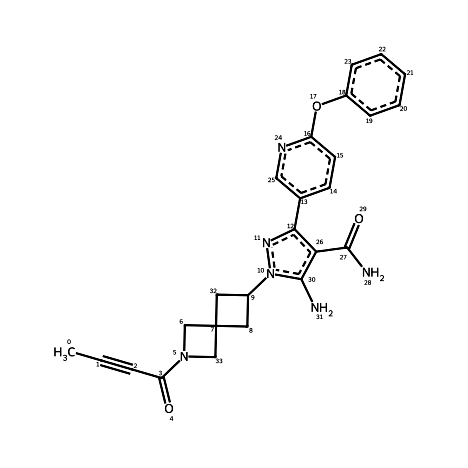 CC#CC(=O)N1CC2(CC(n3nc(-c4ccc(Oc5ccccc5)nc4)c(C(N)=O)c3N)C2)C1